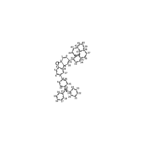 C1=CC2Oc3ccc(-c4ccc(N(c5ccccc5)c5ccccc5)cc4)cc3C2C=C1c1ccc2ccc3cccc4ccc1c2c34